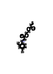 C=CC(=O)OCCOC(=O)/C=C/c1ccc(C)cc1C